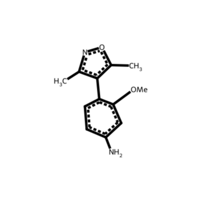 COc1cc(N)ccc1-c1c(C)noc1C